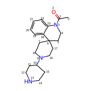 CC(=O)N1CCC2(CCN(C3CCNCC3)CC2)c2ccccc21